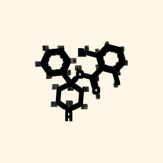 Cc1cccc(Br)c1C(=O)OC1(c2ccccc2)CCNCC1